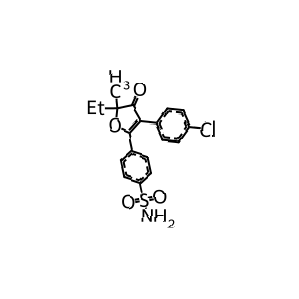 CCC1(C)OC(c2ccc(S(N)(=O)=O)cc2)=C(c2ccc(Cl)cc2)C1=O